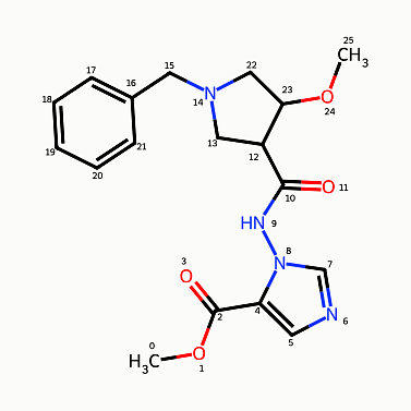 COC(=O)c1cncn1NC(=O)C1CN(Cc2ccccc2)CC1OC